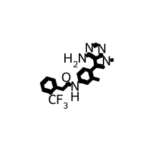 Cc1cc(NC(=O)Cc2ccccc2C(F)(F)F)ccc1-c1cn(C)c2ncnc(N)c12